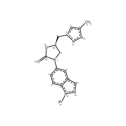 Cc1cn(C[C@H]2CN(c3ccc4c(cnn4C(C)C)c3)C(=O)O2)nn1